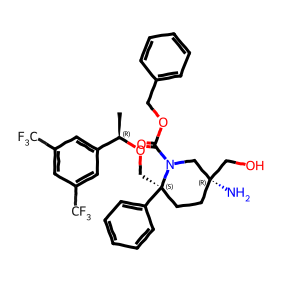 C[C@@H](OC[C@@]1(c2ccccc2)CC[C@](N)(CO)CN1C(=O)OCc1ccccc1)c1cc(C(F)(F)F)cc(C(F)(F)F)c1